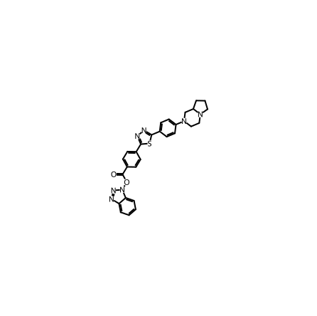 O=C(On1nnc2ccccc21)c1ccc(-c2nnc(-c3ccc(N4CCN5CCCC5C4)cc3)s2)cc1